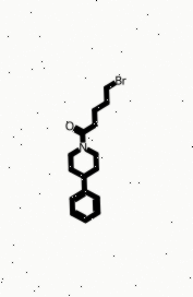 O=C(CCCCBr)N1CCC(c2ccccc2)CC1